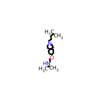 CC(C)CCCN1CCC2(CCC(OCCNC(C)C)CC2)CC1